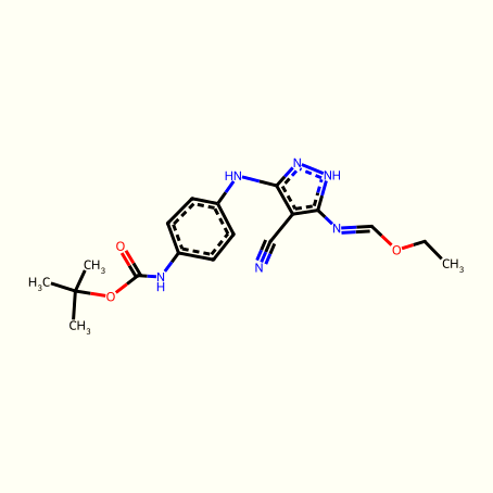 CCO/C=N/c1[nH]nc(Nc2ccc(NC(=O)OC(C)(C)C)cc2)c1C#N